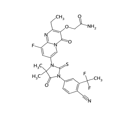 CCc1nc2c(F)cc(N3C(=S)N(c4ccc(C#N)c(C(C)(F)F)c4)C(=O)C3(C)C)cn2c(=O)c1OCC(N)=O